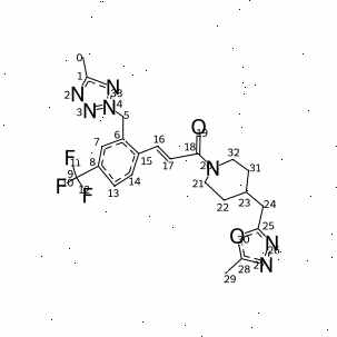 Cc1nnn(Cc2cc(C(F)(F)F)ccc2C=CC(=O)N2CCC(Cc3nnc(C)o3)CC2)n1